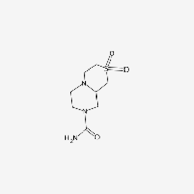 NC(=O)N1CCN2CCS(=O)(=O)CC2C1